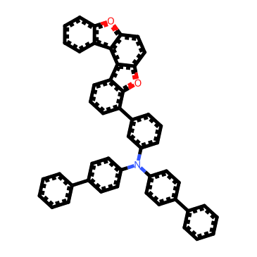 c1ccc(-c2ccc(N(c3ccc(-c4ccccc4)cc3)c3cccc(-c4cccc5c4oc4ccc6oc7ccccc7c6c45)c3)cc2)cc1